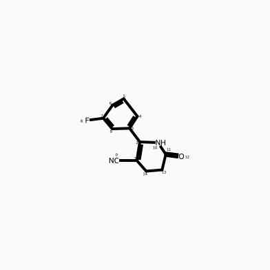 N#CC1=C(c2cccc(F)c2)NC(=O)CC1